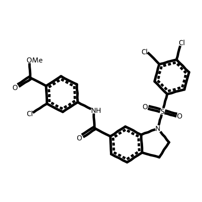 COC(=O)c1ccc(NC(=O)c2ccc3c(c2)N(S(=O)(=O)c2ccc(Cl)c(Cl)c2)CC3)cc1Cl